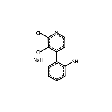 Sc1ccccc1-c1ccnc(Cl)c1Cl.[NaH]